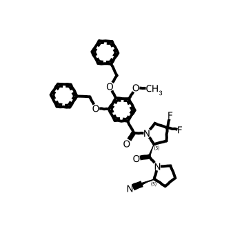 COc1cc(C(=O)N2CC(F)(F)C[C@H]2C(=O)N2CCC[C@H]2C#N)cc(OCc2ccccc2)c1OCc1ccccc1